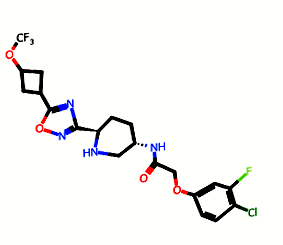 O=C(COc1ccc(Cl)c(F)c1)N[C@H]1CC[C@H](c2noc(C3CC(OC(F)(F)F)C3)n2)NC1